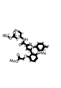 COC(=O)COc1cccc(OC)c1-c1cc(C(=O)N[C@H](CC(=O)OC(C)(C)C)CC(C)C)nn1-c1ccc(F)cc1